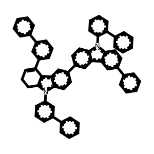 C1=C(c2cccc(-c3ccccc3)c2)c2c(n(-c3cccc(-c4ccccc4)c3)c3ccc(-c4ccc5c(c4)c4cc(-c6ccccc6)ccc4n5-c4ccccc4-c4ccccc4)cc23)CC1